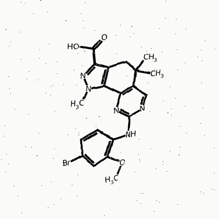 COc1cc(Br)ccc1Nc1ncc2c(n1)-c1c(c(C(=O)O)nn1C)CC2(C)C